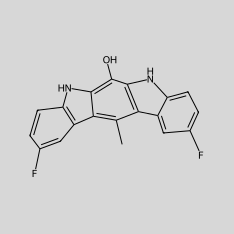 Cc1c2c([nH]c3ccc(F)cc32)c(O)c2[nH]c3ccc(F)cc3c12